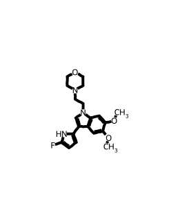 COc1cc2c(-c3ccc(F)[nH]3)cn(CCN3CCOCC3)c2cc1OC